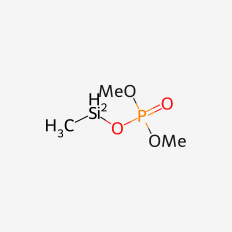 COP(=O)(OC)O[SiH2]C